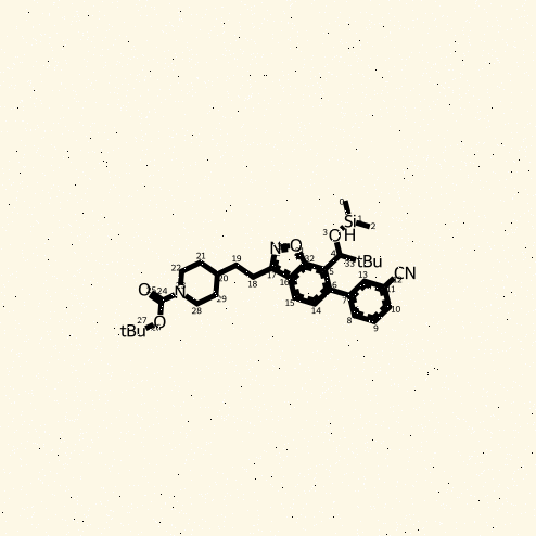 C[SiH](C)OC(c1c(-c2cccc(C#N)c2)ccc2c(CCC3CCN(C(=O)OC(C)(C)C)CC3)noc12)C(C)(C)C